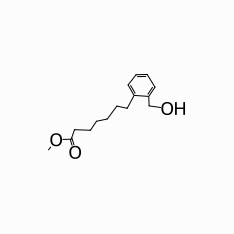 COC(=O)CCCCCCc1ccccc1CO